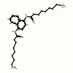 CCCCCCCCC(=O)Oc1ccc(OC(=O)CCCCCCCC)c2ccccc12